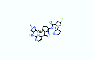 COc1nn(C)cc1Nc1nccc(-c2c[nH]c3c(NC(=O)C4CC(F)CN4C4CCNC4)cccc23)n1